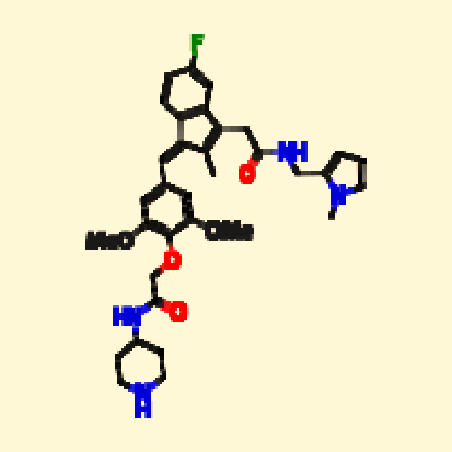 COc1cc(C=C2C(C)=C(CC(=O)NCc3cccn3C)c3cc(F)ccc32)cc(OC)c1OCC(=O)NC1CCNCC1